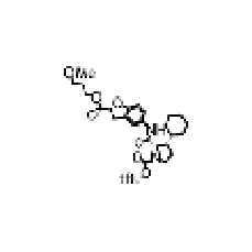 COCCCOC(=O)C1Cc2cc(NC(=O)[C@@H]3[C@H](C4CCCCC4)CCN3C(=O)OC(C)(C)C)ccc2O1